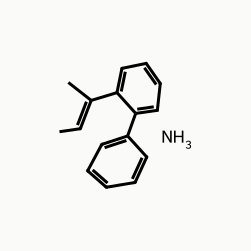 CC=C(C)c1ccccc1-c1ccccc1.N